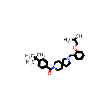 CC(C)COc1ccccc1CN1CCC2(CCN(C(=O)c3ccc(C(C)(C)C)cc3)CC2)C1